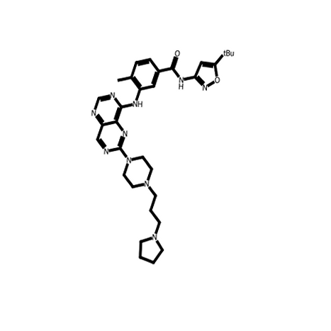 Cc1ccc(C(=O)Nc2cc(C(C)(C)C)on2)cc1Nc1ncnc2cnc(N3CCN(CCCN4CCCC4)CC3)nc12